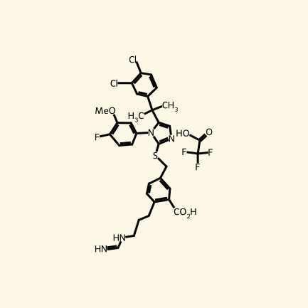 COc1cc(-n2c(C(C)(C)c3ccc(Cl)c(Cl)c3)cnc2SCc2ccc(CCCNC=N)c(C(=O)O)c2)ccc1F.O=C(O)C(F)(F)F